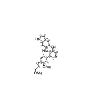 COCCOc1ccc(-c2cncc(C#N)c2Nc2ccc3cc[nH]c3c2)cc1OC